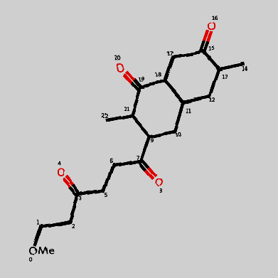 COCCC(=O)CCC(=O)C1CC2CC(C)C(=O)CC2C(=O)C1C